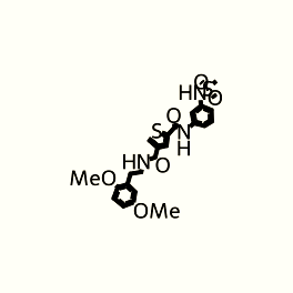 COc1ccc(OC)c(CCNC(=O)c2csc(C(=O)Nc3cccc(NS(C)(=O)=O)c3)c2)c1